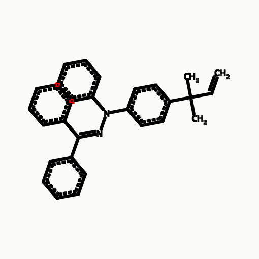 C=CC(C)(C)c1ccc(N(N=C(c2ccccc2)c2ccccc2)c2ccccc2)cc1